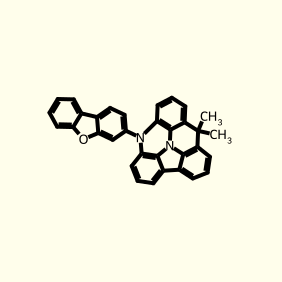 CC1(C)c2cccc3c2-n2c4c(cccc4c4cccc1c42)N3c1ccc2c(c1)oc1ccccc12